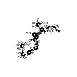 COc1ccc2c(OS(=O)(=O)Oc3cc(C(=O)N(C)CC(C)(C)COCC(C)(C)CN=[N+]=[N-])ccc3O[C@@H]3O[C@H](C(=O)O)[C@@H](O)[C@H](O)[C@H]3O)cc3c(c2c1)[C@H](CCl)CN3C(=O)c1cn2cc(NC(=O)c3ccc(O[C@@H]4O[C@H](COC5OC(C(=O)O)[C@@H](O)[C@H](O)[C@H]5O)[C@H](O)[C@H](O)[C@H]4O)cc3)ccc2n1